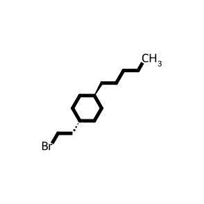 CCCCC[C@H]1CC[C@H](CCBr)CC1